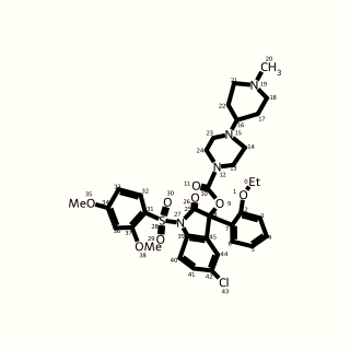 CCOc1ccccc1C1(OC(=O)N2CCN(C3CCN(C)CC3)CC2)C(=O)N(S(=O)(=O)c2ccc(OC)cc2OC)c2ccc(Cl)cc21